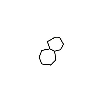 C1CCC2CCCCCC2CC1